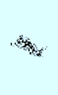 N#CC(C#N)=C1C(c2nc(C(F)(F)F)nc(C(F)(F)F)n2)=C(C#N)c2cc3c(c(F)c21)C(=C(C#N)C#N)C(c1nc(C(F)(F)F)nc(C(F)(F)F)n1)=C3C#N